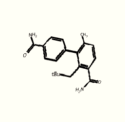 Cc1ccc(C(N)=O)c(CC(C)(C)C)c1-c1ccc(C(N)=O)cc1